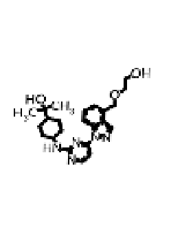 CC(C)(O)C1CCC(Nc2nccc(-n3ncc4c(COCCO)cccc43)n2)CC1